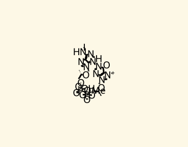 COP(=O)(OC[C@H](C)OCn1c[n+](C)c2c(=O)[nH]cnc21)OP(=O)(O)OOC[C@H](C)OCn1cnc2c(NI)ncnc21